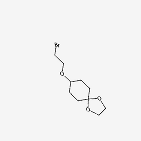 BrCCOC1CCC2(CC1)OCCO2